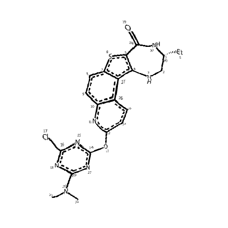 CC[C@@H]1CNc2c(sc3ccc4nc(Oc5nc(Cl)nc(N(C)C)n5)ccc4c23)C(=O)N1